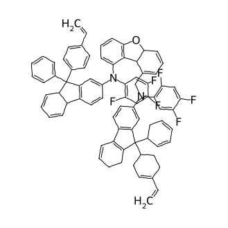 C=CC1=CCC(C2(C3C=CC=CC3)C3=C(C=CCC3)c3ccc(N(CC4=CC=CC5Oc6cccc(N(c7ccc8c(c7)C(c7ccccc7)(c7ccc(C=C)cc7)C7C=CC=CC87)c7cc(F)c(F)cc7F)c6C45)c4cc(F)c(F)cc4F)cc32)CC1